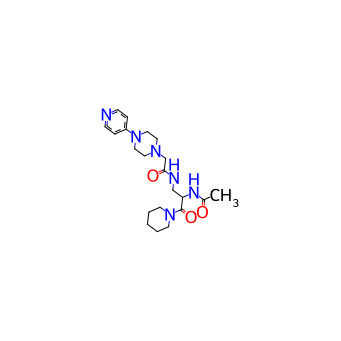 CC(=O)NC(CNC(=O)CN1CCN(c2ccncc2)CC1)C(=O)N1CCCCC1